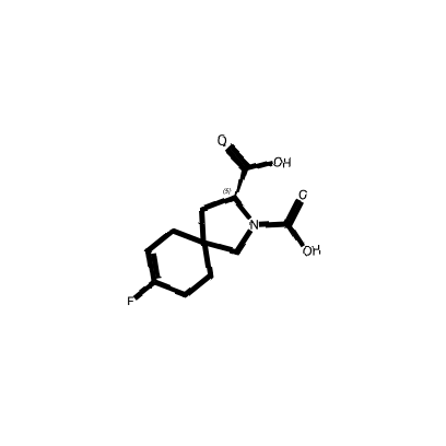 O=C(O)[C@@H]1CC2(CC=C(F)CC2)CN1C(=O)O